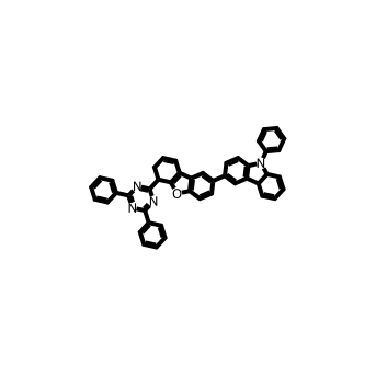 C1=CC2c3cc(-c4ccc5oc6c(c5c4)C=CCC6c4nc(-c5ccccc5)nc(-c5ccccc5)n4)ccc3N(c3ccccc3)C2C=C1